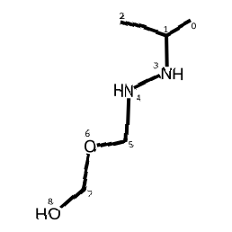 CC(C)NNCOCO